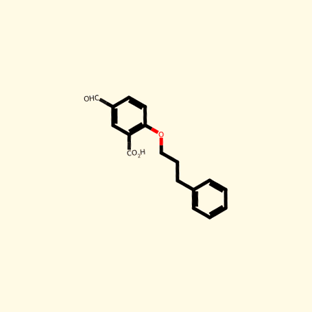 O=Cc1ccc(OCCCc2ccccc2)c(C(=O)O)c1